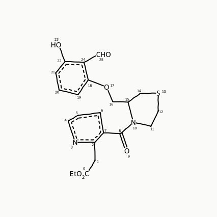 CCOC(=O)Cc1ncccc1C(=O)N1CCSCC1COc1cccc(O)c1C=O